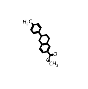 COC(=O)c1ccc2c(c1)CCC(c1ccc(C)cc1)C2